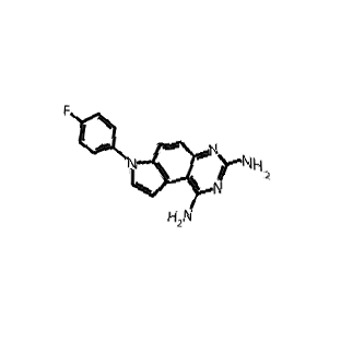 Nc1nc(N)c2c(ccc3c2ccn3-c2ccc(F)cc2)n1